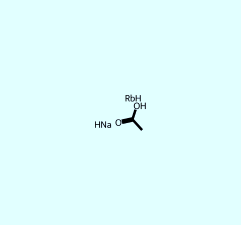 CC(=O)O.[NaH].[RbH]